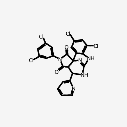 O=C1C2C(c3ccccn3)NC3=NC2(C(=O)N1c1cc(Cl)cc(Cl)c1)c1cc(Cl)cc(Cl)c1N3